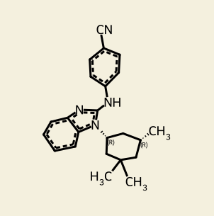 C[C@H]1C[C@@H](n2c(Nc3ccc(C#N)cc3)nc3ccccc32)CC(C)(C)C1